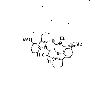 CCN(CC(C)(C)C)C(=O)C(C(n1c2c(c3c(OC)cccc31)CCCC2)C(C)(C)C(C)=O)n1c2c(c3ccc(OC)cc31)CCCC2